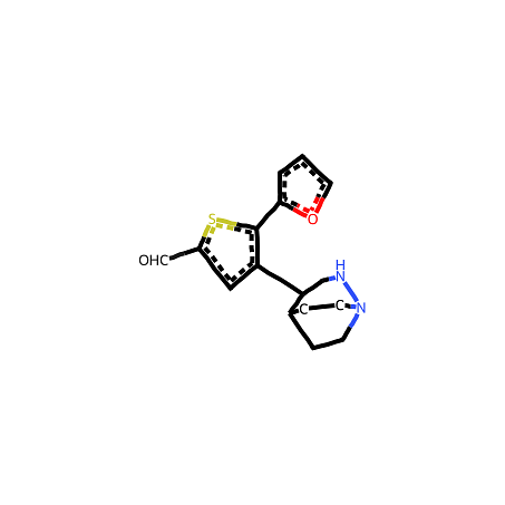 O=Cc1cc(C2CNN3CCC2CC3)c(-c2ccco2)s1